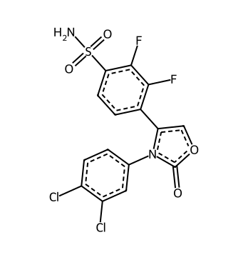 NS(=O)(=O)c1ccc(-c2coc(=O)n2-c2ccc(Cl)c(Cl)c2)c(F)c1F